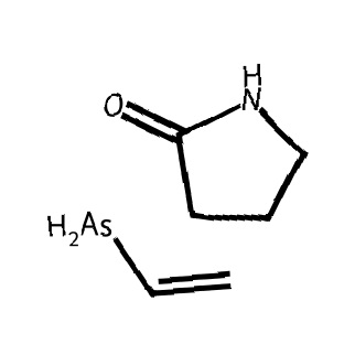 C=C[AsH2].O=C1CCCN1